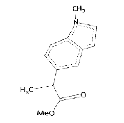 COC(=O)C(C)c1ccc2c(ccn2C)c1